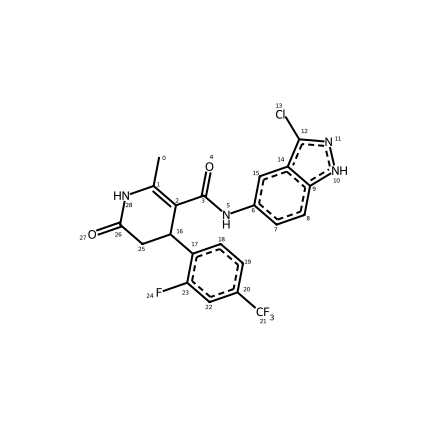 CC1=C(C(=O)Nc2ccc3[nH]nc(Cl)c3c2)C(c2ccc(C(F)(F)F)cc2F)CC(=O)N1